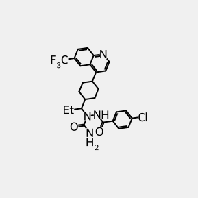 CCC(C1CCC(c2ccnc3ccc(C(F)(F)F)cc23)CC1)N(NC(=O)c1ccc(Cl)cc1)C(N)=O